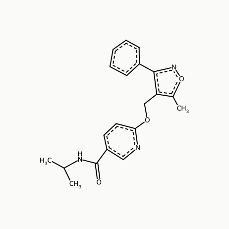 Cc1onc(-c2ccccc2)c1COc1ccc(C(=O)NC(C)C)cn1